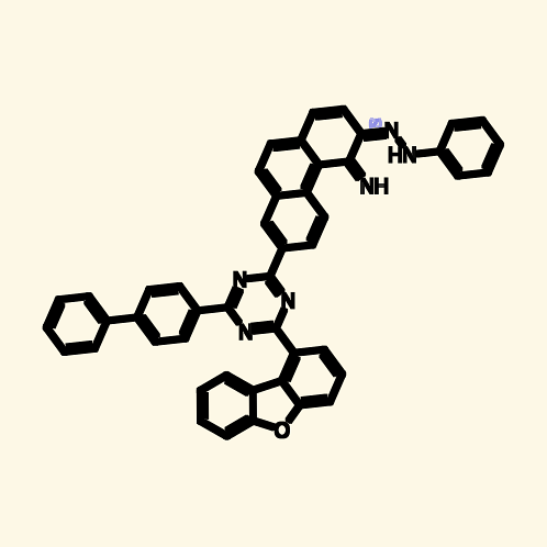 N=C1/C(=N\Nc2ccccc2)C=Cc2ccc3cc(-c4nc(-c5ccc(-c6ccccc6)cc5)nc(-c5cccc6oc7ccccc7c56)n4)ccc3c21